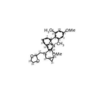 COc1cc(C)c(-c2cccc3c(N(CC4CC4)CC4OCCO4)c(OC)nn23)c(C)c1